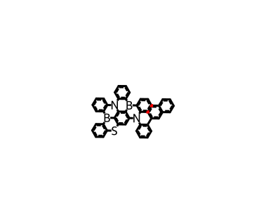 c1ccc2c(c1)Sc1cc3c4c5c1B2c1ccccc1N5c1ccccc1B4c1ccccc1N3c1ccccc1-c1ccc2ccccc2c1